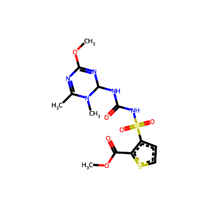 COC(=O)c1sccc1S(=O)(=O)NC(=O)NC1N=C(OC)N=C(C)N1C